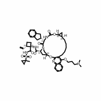 C=C[C@@H]1CC[C@]1(NC(=O)[C@@H]1C[C@@H]2CN1C(=O)[C@H](C1Cc3ccccc3C1)NC(=O)O[C@@H]1C[C@H]1CCCCCc1c(nc3ccccc3c1OCCCN(C)C)O2)C(=O)NS(=O)(=O)C1(C)CC1